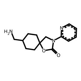 NCC1CCC2(CC1)CN(c1ccccn1)C(=O)O2